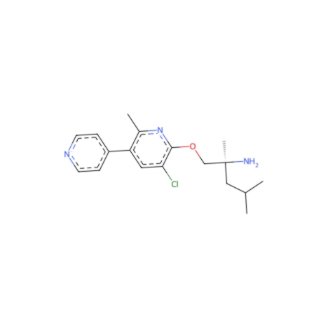 Cc1nc(OC[C@@](C)(N)CC(C)C)c(Cl)cc1-c1ccncc1